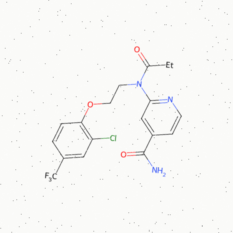 CCC(=O)N(CCOc1ccc(C(F)(F)F)cc1Cl)c1cc(C(N)=O)ccn1